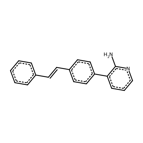 Nc1ncccc1-c1ccc(/C=C/c2ccccc2)cc1